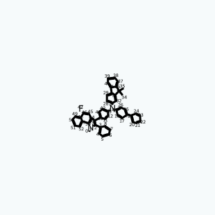 Cn1c(-c2ccccc2)c(-c2ccc(N(c3ccc(-c4ccccc4)cc3)c3ccc4c(c3)C(C)(C)c3ccccc3-4)cc2)c2cc(F)c3ccccc3c21